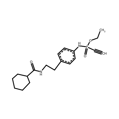 C#CP(=O)(Nc1ccc(CCNC(=O)C2CCCCC2)cc1)OCC